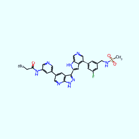 CC(C)(C)CC(=O)Nc1cncc(-c2cnc3[nH]nc(-c4cc5c(-c6cc(F)cc(CNS(C)(=O)=O)c6)cncc5[nH]4)c3c2)c1